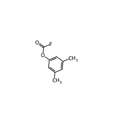 Cc1cc(C)cc(OC(=O)F)c1